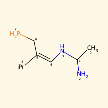 CC(N)N/C=C(\CP)C(C)C